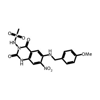 COc1ccc(CNc2cc3c(=O)n(NS(C)(=O)=O)c(=O)[nH]c3cc2[N+](=O)[O-])cc1